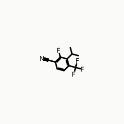 CC(C)c1c(C(F)(F)F)ccc(C#N)c1F